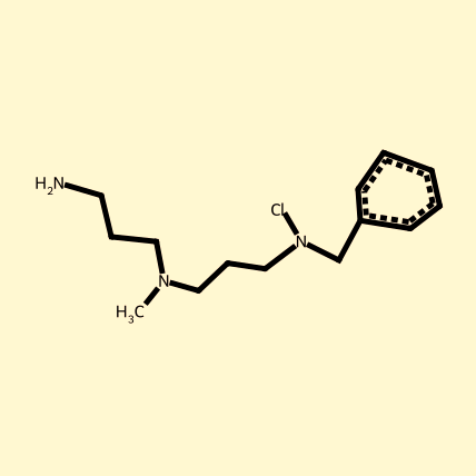 CN(CCCN)CCCN(Cl)Cc1ccccc1